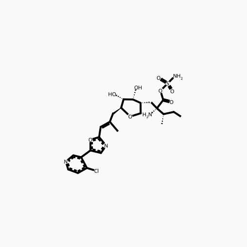 CC[C@H](C)[C@@](N)(C[C@@H]1CO[C@@H](C/C(C)=C/c2ncc(-c3cnccc3Cl)o2)[C@H](O)[C@@H]1O)C(=O)OS(N)(=O)=O